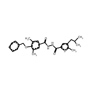 Cc1cc(C(=O)NNC(=O)c2cc(CC(C)C)c(C)s2)cc(C)c1OCc1ccccc1